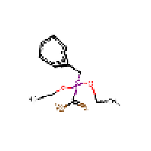 CCO[PH](Cc1ccccc1)(OCC)C(=S)S